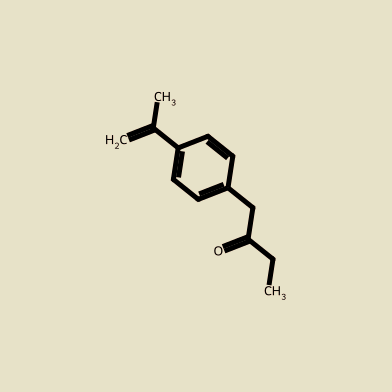 C=C(C)c1ccc(CC(=O)CC)cc1